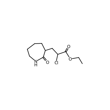 CCOC(=O)C(Cl)CC1CCCCNC1=O